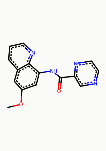 COc1cc(NC(=O)c2cnccn2)c2ncccc2c1